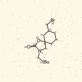 CC(C)(C)CN1CC2(CCCC(CBr)C2)OC1=O